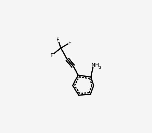 Nc1ccccc1C#CC(F)(F)F